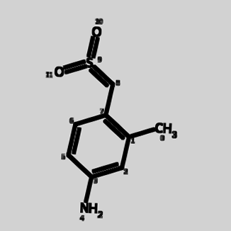 Cc1cc(N)ccc1C=S(=O)=O